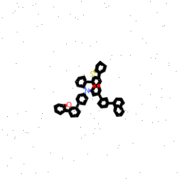 c1cc(-c2cccc(N(c3ccc(-c4cccc5c4oc4ccccc45)cc3)c3ccccc3-c3cccc4c3sc3ccccc34)c2)cc(-c2cccc3ccccc23)c1